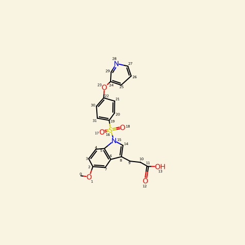 COc1ccc2c(c1)c(CCC(=O)O)cn2S(=O)(=O)c1ccc(Oc2cccnc2)cc1